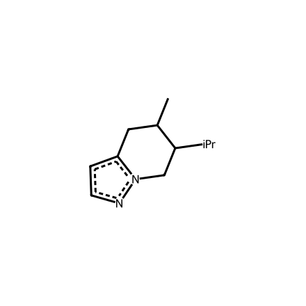 CC(C)C1Cn2nccc2CC1C